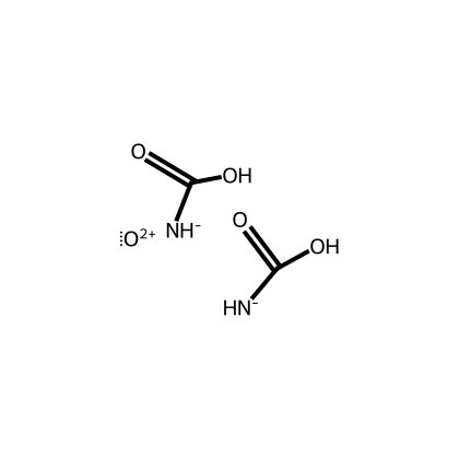 [NH-]C(=O)O.[NH-]C(=O)O.[O+2]